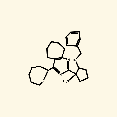 NC1(c2nc3c(c(N4CCCCCC4)n2)CCCCC3)CCCC1NCc1ccccc1